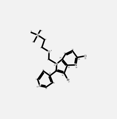 C[Si](C)(C)CCOCn1c(-c2ccncc2)c(Br)c2nc(Cl)ccc21